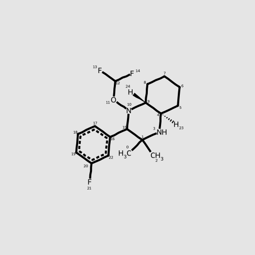 CC1(C)N[C@@H]2CCCC[C@H]2N(OC(F)F)C1c1cccc(F)c1